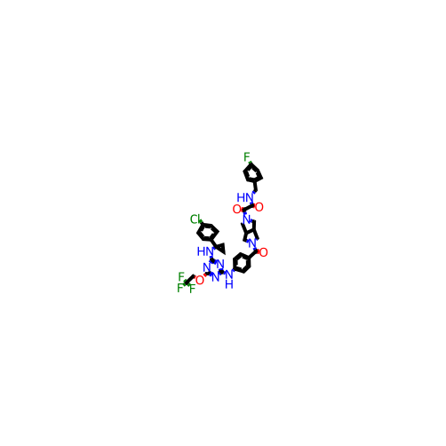 O=C(NCc1ccc(F)cc1)C(=O)N1CC2CN(C(=O)c3ccc(Nc4nc(NC5(c6ccc(Cl)cc6)CC5)nc(OCC(F)(F)F)n4)cc3)CC2C1